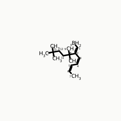 B/C=C(/C=C\C=C/C)C(C)(C)CCC(C)(C)C